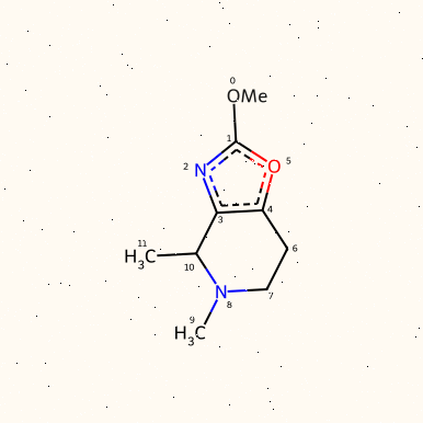 COc1nc2c(o1)CCN(C)C2C